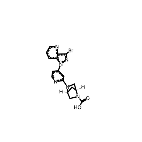 O=C(O)N1C[C@@H]2C[C@H]1CN2c1cc(-n2nc(Br)c3ncccc32)ccn1